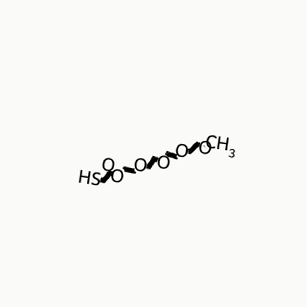 COCCOCCOCCOCCOC(=O)CS